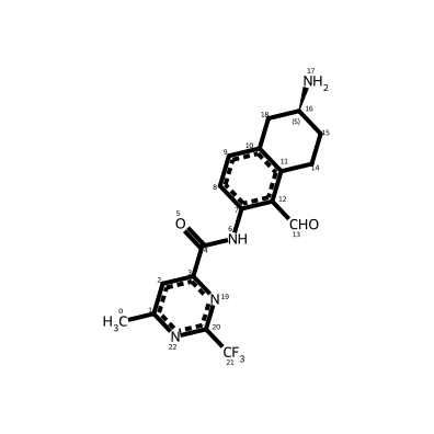 Cc1cc(C(=O)Nc2ccc3c(c2C=O)CC[C@H](N)C3)nc(C(F)(F)F)n1